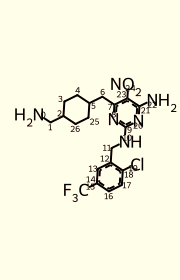 NCC1CCC(Cc2nc(NCc3cc(C(F)(F)F)ccc3Cl)nc(N)c2[N+](=O)[O-])CC1